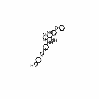 N=C(c1ccc(Oc2ccccc2)cc1)c1c(N)ncnc1NC1CCN(C2CN(C3CCC4(CC3)CNC4)C2)CC1